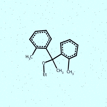 CCOC(C)(c1ccccc1C)c1ccccc1C